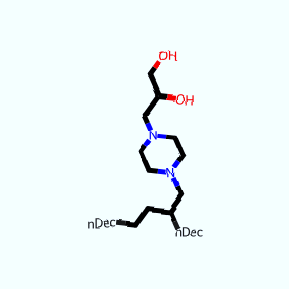 CCCCCCCCCCCCC(CCCCCCCCCC)CN1CCN(CC(O)CO)CC1